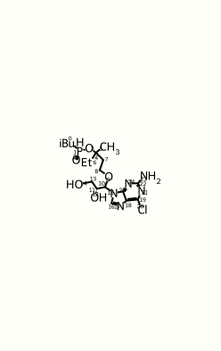 CCC(C)[PH](=O)OC(C)(CC)CCOC([C@H](O)CO)n1cnc2c(Cl)nc(N)nc21